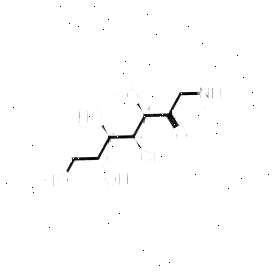 NCC(=O)[C@H](O)[C@@H](O)[C@H](O)[C@H](O)CO